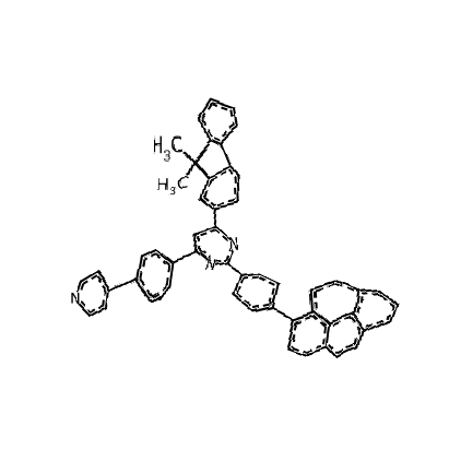 CC1(C)c2ccccc2-c2ccc(-c3cc(-c4ccc(-c5ccncc5)cc4)nc(-c4ccc(-c5ccc6ccc7cccc8ccc5c6c78)cc4)n3)cc21